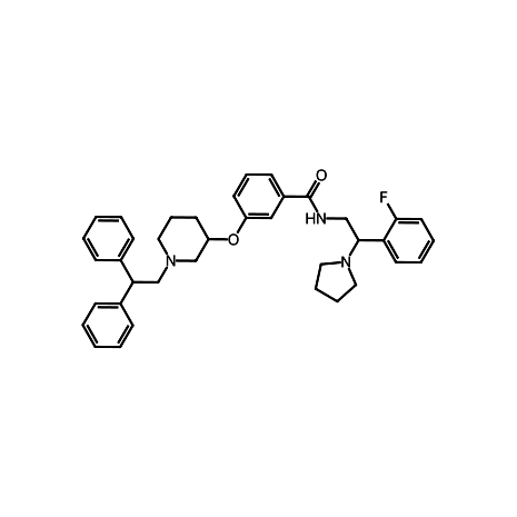 O=C(NCC(c1ccccc1F)N1CCCC1)c1cccc(OC2CCCN(CC(c3ccccc3)c3ccccc3)C2)c1